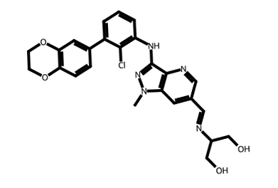 Cn1nc(Nc2cccc(-c3ccc4c(c3)OCCO4)c2Cl)c2ncc(C=NC(CO)CO)cc21